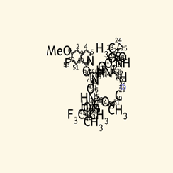 COc1cc2ccnc(O[C@@H]3C[C@H]4C(=O)N[C@]5(C(=O)NS(=O)(=O)C6(C)CC6)C[C@H]5/C=C\CC[C@@H](C)O[C@@H](C)[C@H](NC(=O)OC(C)(C)C(F)(F)F)C(=O)N4C3)c2cc1F